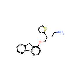 NCCC(COc1cccc2c1Cc1ccccc1-2)c1cccs1